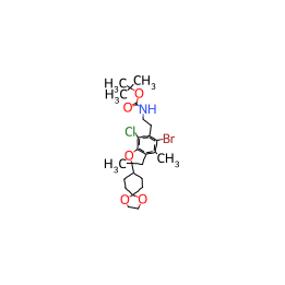 Cc1c(Br)c(CCNC(=O)OC(C)(C)C)c(Cl)c2c1CC(C)(C1CCC3(CC1)OCCO3)O2